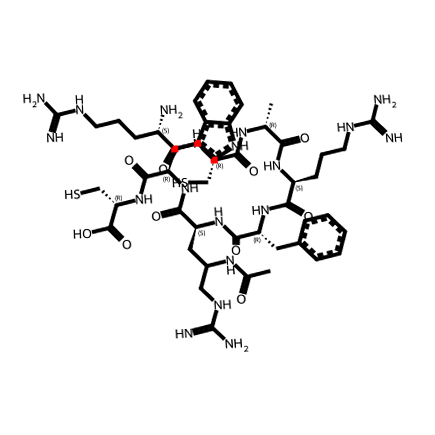 CC(=O)NC(CNC(=N)N)C[C@H](NC(=O)[C@@H](Cc1ccccc1)NC(=O)[C@H](CCCNC(=N)N)NC(=O)[C@@H](C)NC(=O)[C@H](CS)NC(=O)[C@@H](N)CCCNC(=N)N)C(=O)N[C@H](Cc1c[nH]c2ccccc12)C(=O)N[C@@H](CS)C(=O)O